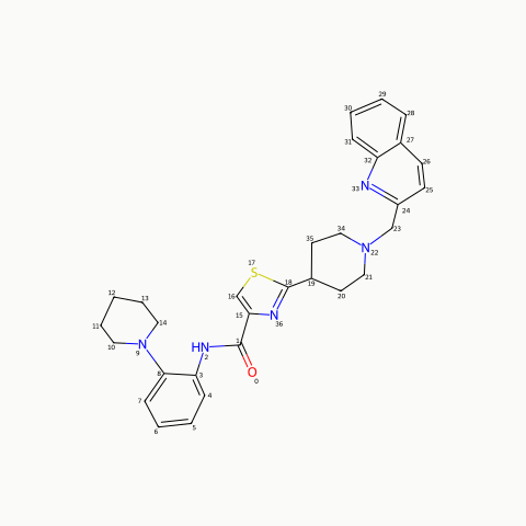 O=C(Nc1ccccc1N1CCCCC1)c1csc(C2CCN(Cc3ccc4ccccc4n3)CC2)n1